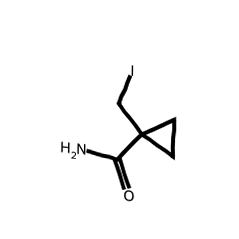 NC(=O)C1(CI)CC1